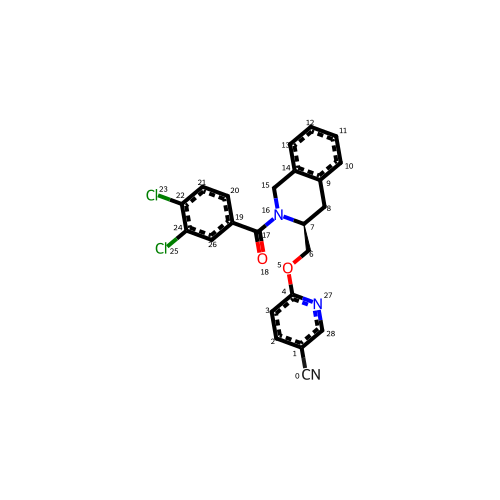 N#Cc1ccc(OC[C@@H]2Cc3ccccc3CN2C(=O)c2ccc(Cl)c(Cl)c2)nc1